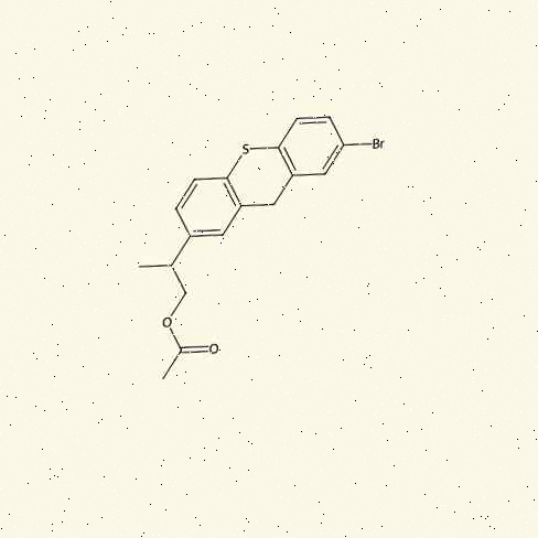 CC(=O)OCC(C)c1ccc2c(c1)Cc1cc(Br)ccc1S2